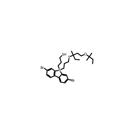 CCC(C)(C)OCCC(C)(CC)SCCCS1(CCCS)c2cc(Br)ccc2-c2ccc(Br)cc21